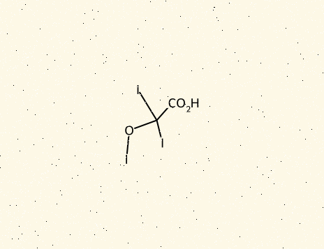 O=C(O)C(I)(I)OI